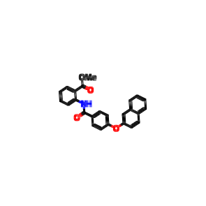 COC(=O)c1ccccc1NC(=O)c1ccc(Oc2ccc3ccccc3c2)cc1